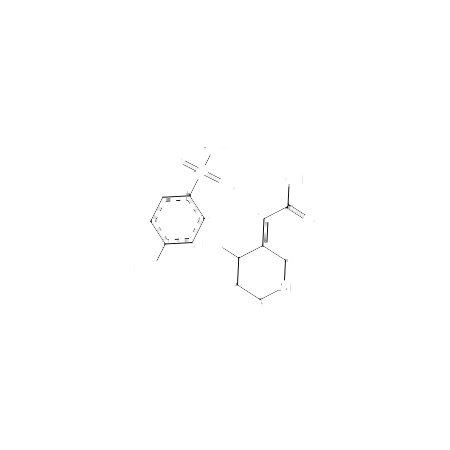 Cc1ccc(S(=O)(=O)O)cc1.O=C(O)C=C1CNCCC1O